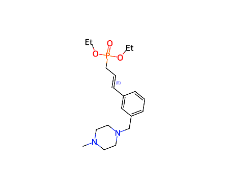 CCOP(=O)(C/C=C/c1cccc(CN2CCN(C)CC2)c1)OCC